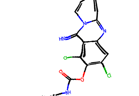 CCCCCCCNC(=O)Oc1c(Cl)cc2nc3ccccn3c(=N)c2c1Cl